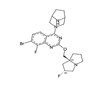 Fc1c(Br)ccc2c(N3CC4CCC(C3)N4)nc(OC[C@@]34CCCN3C[C@H](F)C4)nc12